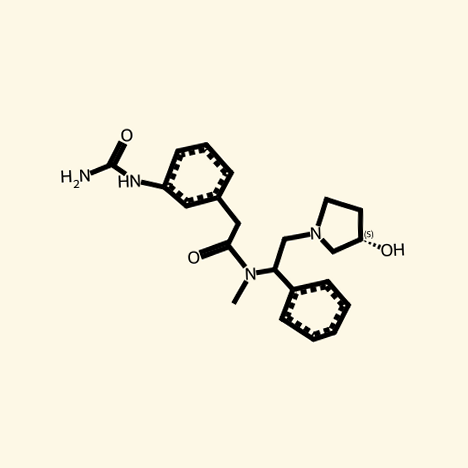 CN(C(=O)Cc1cccc(NC(N)=O)c1)C(CN1CC[C@H](O)C1)c1ccccc1